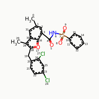 Cc1cc(C(=O)NS(=O)(=O)c2ccccc2)c2oc(Cc3ccc(Cl)cc3Cl)c(C)c2c1